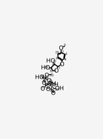 COc1ccc(OC2O[C@H](COP(=O)(O)OP(=O)(O)OP(=O)(O)O)[C@@H](O)[C@H]2O)cc1